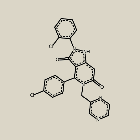 O=c1c2c(-c3ccc(Cl)cc3)n(Cc3cnccn3)c(=O)cc2[nH]n1-c1ccccc1Cl